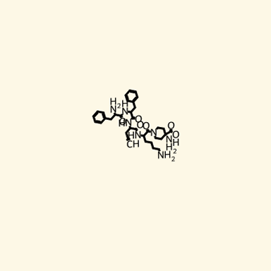 C#CCC(NC(=O)C(Cc1ccccc1)NC(=O)C(N)Cc1ccccc1)C(=O)NC(CCCCN)C(=O)N1CCC(N)(C(=O)O)CC1